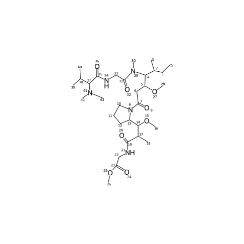 CCC(C)C(C(CC(=O)N1CCCC1C(OC)C(C)C(=O)NCC(=O)OC)OC)N(C)C(=O)CNC(=O)C(C(C)C)N(C)C